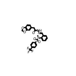 CN(c1ccccc1/C=N/NC(=O)Cc1ccc2c(c1)OCO2)S(=O)(=O)c1ccc(C(F)(F)F)cc1